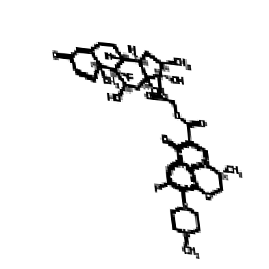 C[C@@H]1COc2c(N3CCN(C)CC3)c(F)cc3c(=O)c(C(=O)OCC(=O)[C@]4(O)[C@H](C)C[C@@H]5[C@H]6CCC7=CC(=O)C=C[C@@]7(C)[C@]6(F)[C@H](O)C[C@]54C)cn1c23